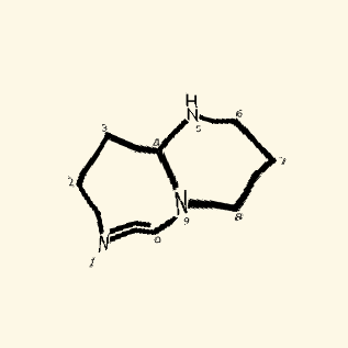 C1=NCCC2NCCCN12